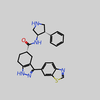 O=C(N[C@H]1CNC[C@@H]1c1ccccc1)[C@H]1CCc2[nH]nc(-c3ccc4ncsc4c3)c2C1